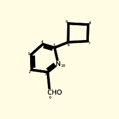 O=Cc1cccc(C2CCC2)n1